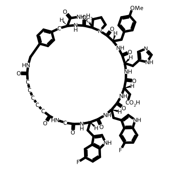 COc1ccc(C[C@@H]2NC(=O)[C@H](Cc3cnc[nH]3)NC(=O)[C@H](CC(=O)O)NC(=O)[C@H](Cc3c[nH]c4ccc(F)cc34)NC(=O)[C@H](Cc3c[nH]c4ccc(F)cc34)NC(=O)CNC(=O)CCCCCC(=O)NCc3ccc(cc3)C[C@@H](C(N)=O)NC(=O)[C@]3(C)CCCN3C2=O)cc1